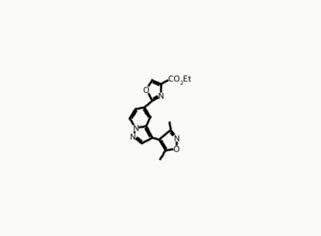 CCOC(=O)c1coc(-c2ccn3ncc(-c4c(C)noc4C)c3c2)n1